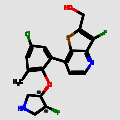 Cc1cc(Cl)cc(-c2ccnc3c(F)c(CO)sc23)c1O[C@@H]1CNC[C@@H]1F